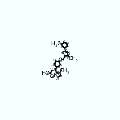 Cc1cccc(-c2nc(C)c(COc3ccc([C@H](CC(=O)O)c4nccn4C)cc3)s2)c1